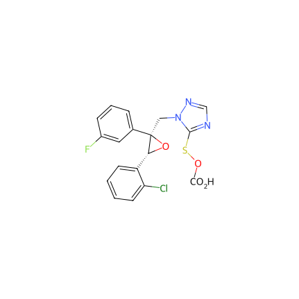 O=C(O)OSc1ncnn1C[C@]1(c2cccc(F)c2)O[C@@H]1c1ccccc1Cl